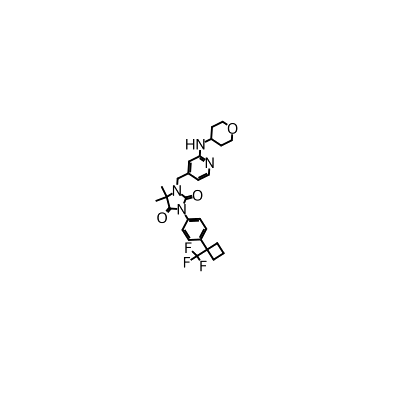 CC1(C)C(=O)N(c2ccc(C3(C(F)(F)F)CCC3)cc2)C(=O)N1Cc1ccnc(NC2CCOCC2)c1